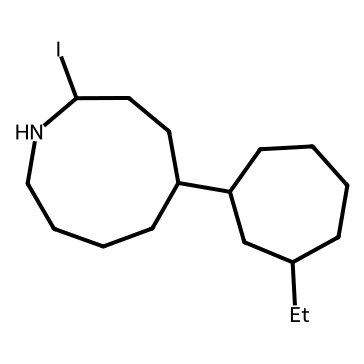 CCC1CCCCC(C2CCCCNC(I)CC2)C1